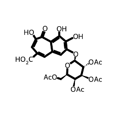 CC(=O)OC[C@H]1O[C@@H](Oc2cc3cc(C(=O)O)cc(O)c(=O)c3c(O)c2O)[C@H](OC(C)=O)[C@@H](OC(C)=O)[C@H]1OC(C)=O